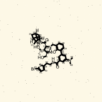 COc1c(CN2O[C@@H](CO)[C@H]([C@H](C)O)[C@H]2C(=O)N[C@H]2C[C@H]3C[C@@H]([C@@H]2C)C3(C)C)cccc1-c1cc(C(=O)NCCc2ccc(Br)s2)cc(N(C)C)c1